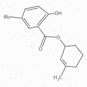 CCC(C)c1ccc(O)c(C(=O)OC2C=C(C)CCC2)c1